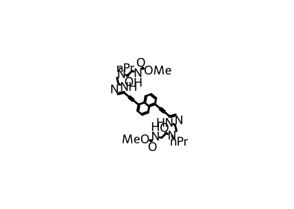 CCCN(Cc1ncc(C#Cc2cccc3c(C#Cc4cnc(CN(CCC)C(=O)CNC(=O)OC)[nH]4)cccc23)[nH]1)C(=O)CNC(=O)OC